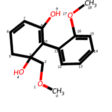 COCC1(O)CC=CC(O)=C1c1ccccc1OC